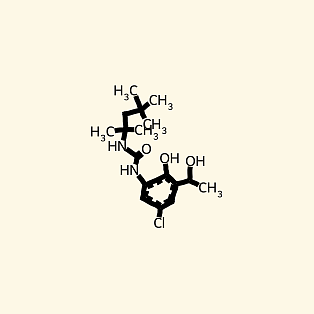 CC(O)c1cc(Cl)cc(NC(=O)NC(C)(C)CC(C)(C)C)c1O